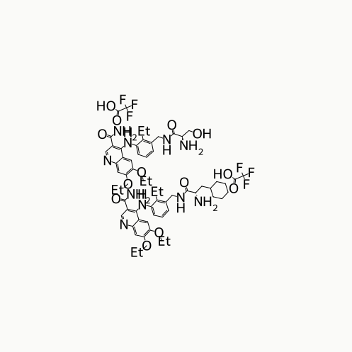 CCOc1cc2ncc(C(N)=O)c(Nc3cccc(CNC(=O)[C@@H](N)CC4CCCCC4)c3CC)c2cc1OCC.CCOc1cc2ncc(C(N)=O)c(Nc3cccc(CNC(=O)[C@H](N)CO)c3CC)c2cc1OCC.O=C(O)C(F)(F)F.O=C(O)C(F)(F)F